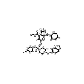 CCOC(=O)c1c(C)c(=O)oc2c1c(O)nn2-c1ccccc1.O=S(=O)(Cc1ccc(Cl)cc1)N1CCN(Cc2ccc3c(c2)OCO3)CC1